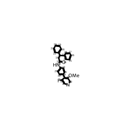 COc1cncc(F)c1-c1ccc(NC(=O)[CH]C(c2ccccc2)c2ccccc2)cc1